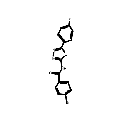 O=C(Nc1nnc(-c2ccc(F)cc2)o1)c1ccc(Br)cc1